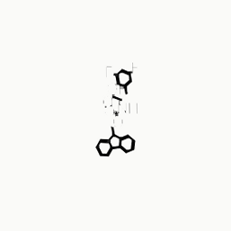 O=C(N[C@@H](Cc1cc(F)cc(F)c1)C(=O)O)OCC1c2ccccc2-c2ccccc21